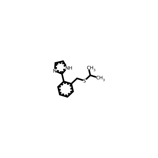 CC(C)SCc1ccccc1-c1ncc[nH]1